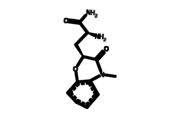 CN1C(=O)[C@H](C[C@H](N)C(N)=O)Oc2ccccc21